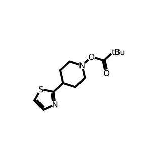 CC(C)(C)C(=O)ON1CCC(c2nccs2)CC1